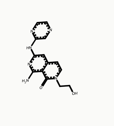 Nc1nc(Nc2cnccn2)cc2ccn(CCO)c(=O)c12